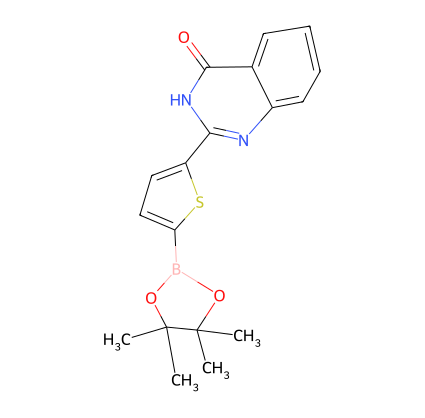 CC1(C)OB(c2ccc(-c3nc4ccccc4c(=O)[nH]3)s2)OC1(C)C